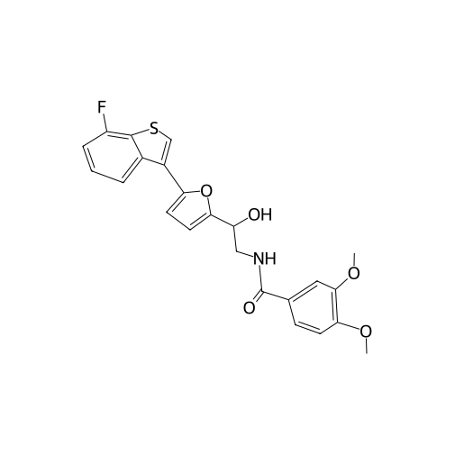 COc1ccc(C(=O)NCC(O)c2ccc(-c3csc4c(F)cccc34)o2)cc1OC